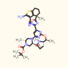 C[C@H](Oc1nc(-c2noc([C@@]3(C)CCCc4sc(N)c(C#N)c43)n2)cc(N2C[C@@H](C)N(C(=O)OC(C)(C)C)C[C@@H]2C)n1)[C@@H]1CCCN1C